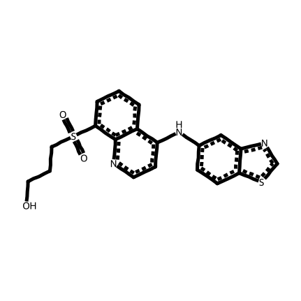 O=S(=O)(CCCO)c1cccc2c(Nc3ccc4scnc4c3)ccnc12